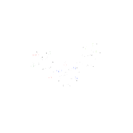 O=C(Nc1cccc2ncn(Cc3cccc(C(F)(F)F)c3)c(=O)c12)c1cc(Cl)c(O)c(Cl)c1